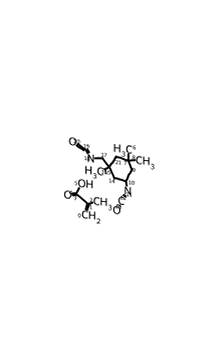 C=C(C)C(=O)O.CC1(C)CC(N=C=O)CC(C)(CN=C=O)C1